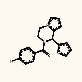 O=C(c1ccc(F)cc1)N1CCn2cccc2C1c1cccs1